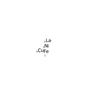 [Cu].[Fe].[La].[Ni]